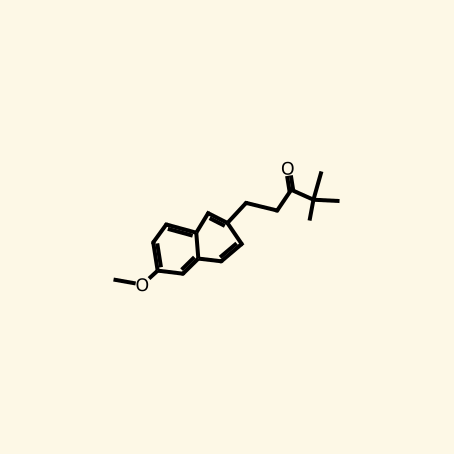 COc1ccc2cc(CCC(=O)C(C)(C)C)ccc2c1